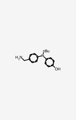 CCCCN(c1ccc(O)cc1)c1ccc(CN)cc1